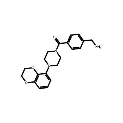 NCc1ccc(C(=O)N2CCN(c3cccc4c3OCCO4)CC2)cc1